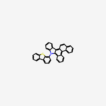 c1ccc2c(c1)ccc1c2c2ccccc2c2c1c1ccccc1n2-c1cccc2c1sc1ccccc12